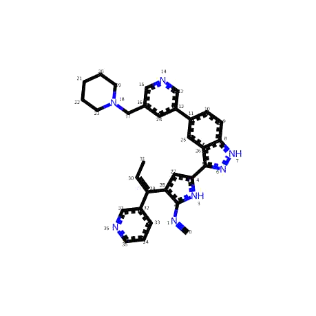 C=Nc1[nH]c(-c2n[nH]c3ccc(-c4cncc(CN5CCCCC5)c4)cc23)cc1/C(=C\C)c1cccnc1